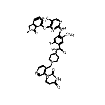 COc1cc(C(=O)NC2CCN(Cc3ccncc3N3CCC(=O)NC3=O)CC2)c(F)cc1Nc1ncc(C(F)(F)F)c(Oc2cccc3c2C(=O)N(C)C3)n1